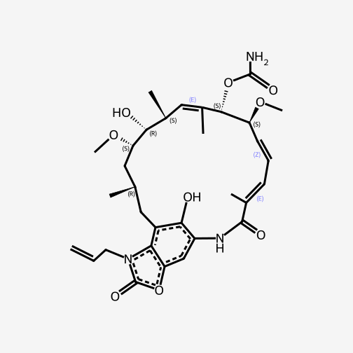 C=CCn1c(=O)oc2cc3c(O)c(c21)C[C@@H](C)C[C@H](OC)[C@H](O)[C@@H](C)/C=C(\C)[C@H](OC(N)=O)[C@@H](OC)/C=C\C=C(/C)C(=O)N3